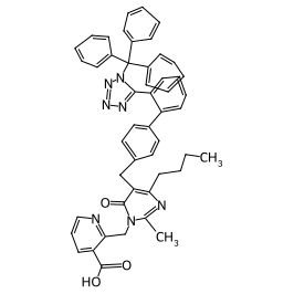 CCCCc1nc(C)n(Cc2ncccc2C(=O)O)c(=O)c1Cc1ccc(-c2ccccc2-c2nnnn2C(c2ccccc2)(c2ccccc2)c2ccccc2)cc1